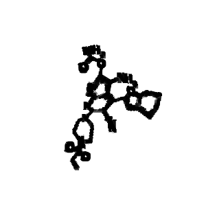 CCS(=O)(=O)N1CCN(c2nc3sc(OC(N)=O)c(N)c3c(-c3cc4ccccc4o3)c2C#N)CC1